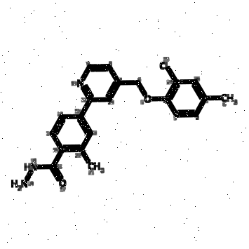 Cc1ccc(OCc2ccnc(-c3ccc(C(=O)NN)c(C)c3)c2)c(Cl)c1